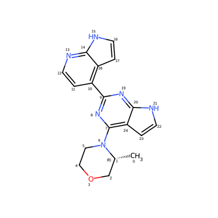 C[C@@H]1COCCN1c1nc(-c2ccnc3[nH]ccc23)nc2[nH]ccc12